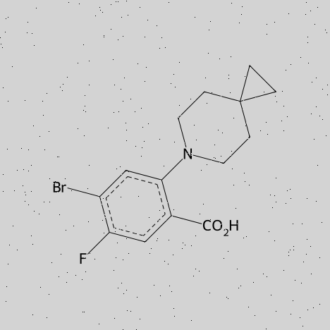 O=C(O)c1cc(F)c(Br)cc1N1CCC2(CC1)CC2